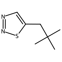 CC(C)(C)Cc1cnns1